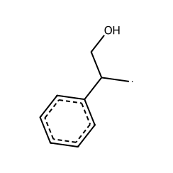 [CH2]C(CO)c1ccccc1